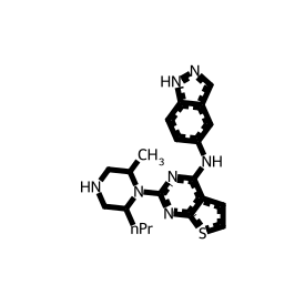 CCCC1CNCC(C)N1c1nc(Nc2ccc3[nH]ncc3c2)c2ccsc2n1